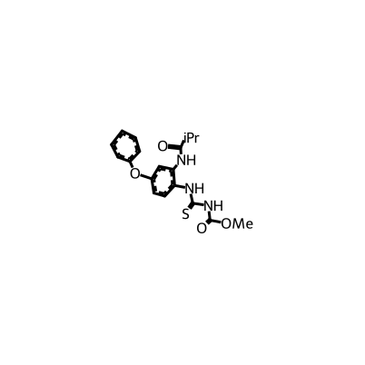 COC(=O)NC(=S)Nc1ccc(Oc2ccccc2)cc1NC(=O)C(C)C